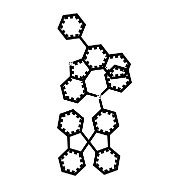 c1ccc(-c2cc3ccccc3c3c2oc2cccc(N(c4ccccc4)c4ccc5c(c4)C4(c6ccccc6-c6ccccc64)c4ccccc4-5)c23)cc1